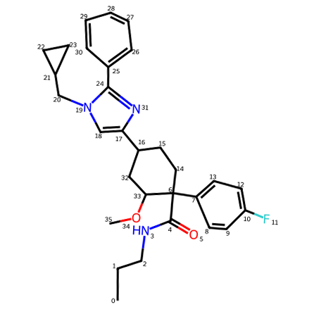 CCCNC(=O)C1(c2ccc(F)cc2)CCC(c2cn(CC3CC3)c(-c3ccccc3)n2)CC1OC